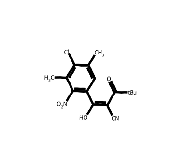 Cc1cc(C(O)=C(C#N)C(=O)C(C)(C)C)c([N+](=O)[O-])c(C)c1Cl